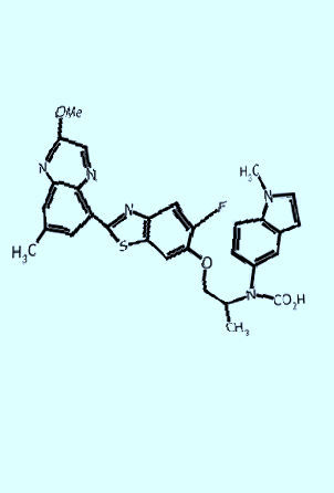 COc1cnc2c(-c3nc4cc(F)c(OCC(C)N(C(=O)O)c5ccc6c(ccn6C)c5)cc4s3)cc(C)cc2n1